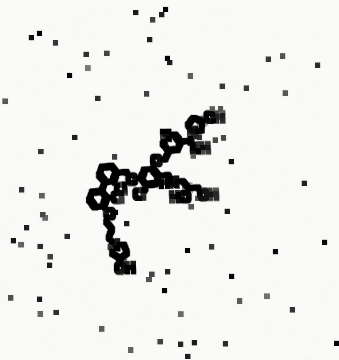 N=C(c1cncc(COc2cc(OCc3cccc(-c4cccc(OCCCN5CC[C@@H](O)C5)c4Cl)c3Cl)c(Cl)cc2CNC[C@H](O)CO)c1)N1CC[C@@H](O)C1